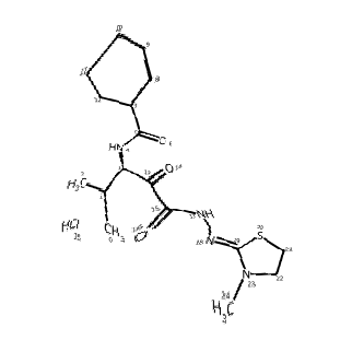 CC(C)[C@@H](NC(=O)C1CCCCC1)C(=O)C(=O)N/N=C1\SCCN1C.Cl